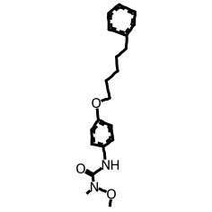 CON(C)C(=O)Nc1ccc(OCCCCCc2ccccc2)cc1